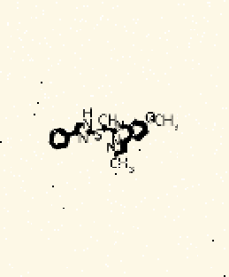 COc1ccc2c(c1)nc(C(C)Sc1nc(-c3ccccc3)c[nH]1)n1nc(C)cc21